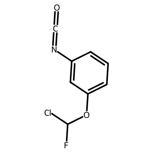 O=C=Nc1cccc(OC(F)Cl)c1